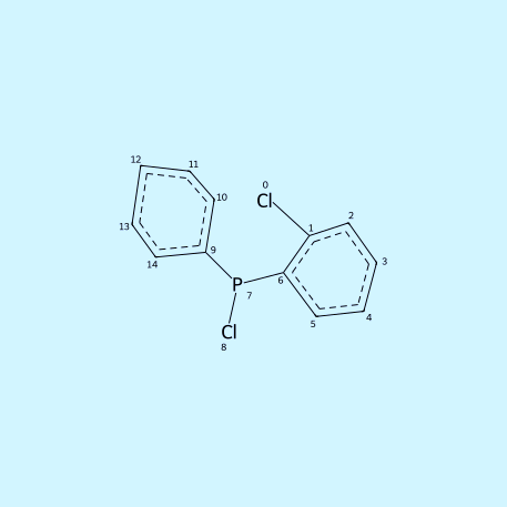 Clc1ccccc1P(Cl)c1ccccc1